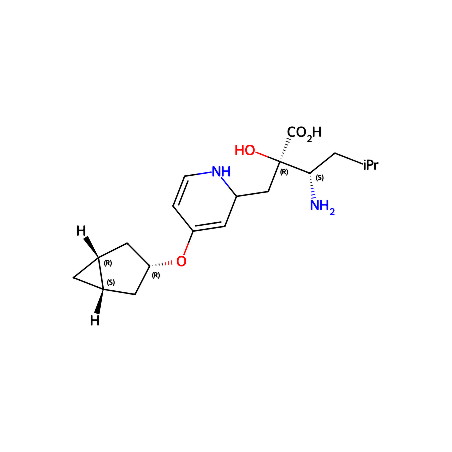 CC(C)C[C@H](N)[C@](O)(CC1C=C(O[C@@H]2C[C@@H]3C[C@@H]3C2)C=CN1)C(=O)O